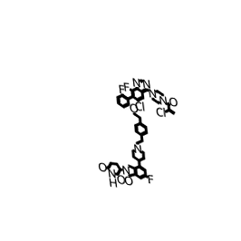 C=C(Cl)C(=O)N1CCN(c2ncnc3c(F)c(-c4c(F)cccc4OCCc4ccc(CCN5CCC(c6cc(F)cc7c6CN(C6CCC(=O)NC6=O)C7=O)CC5)cc4)c(Cl)cc23)CC1